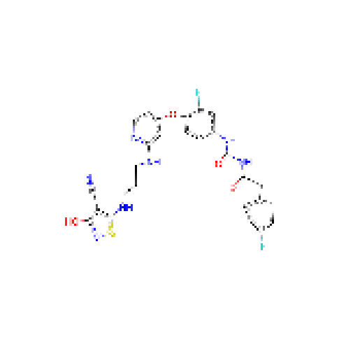 N#Cc1c(O)nsc1NCCCNc1cc(Oc2ccc(NC(=O)NC(=O)Cc3ccc(F)cc3)cc2F)ccn1